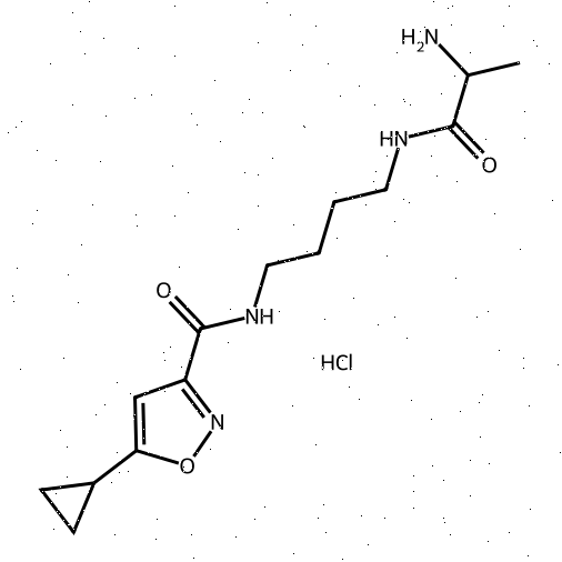 CC(N)C(=O)NCCCCNC(=O)c1cc(C2CC2)on1.Cl